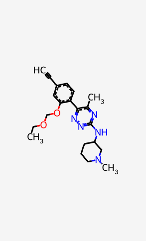 C#Cc1ccc(-c2nnc(NC3CCCN(C)C3)nc2C)c(OCOCC)c1